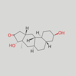 C[C@@]12C[C@@H]3CC[C@H]4C[C@H](O)CC[C@@H]4[C@H]3C[C@H]1CC(=O)[C@H]2O